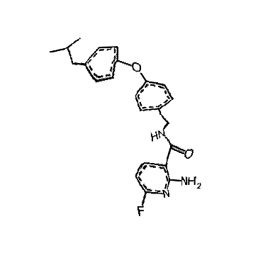 CC(C)Cc1ccc(Oc2ccc(CNC(=O)c3ccc(F)nc3N)cc2)cc1